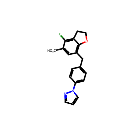 O=C(O)c1cc(Cc2ccc(-n3cccn3)cc2)c2c(c1F)CCO2